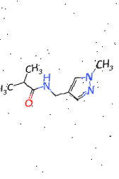 CC(C)C(=O)NCc1cnn(C)c1